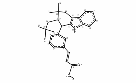 COC(=O)C=Cc1cccc(C2c3[nH]c4ccccc4c3CC(C)(C)N2CC(C)(C)F)c1